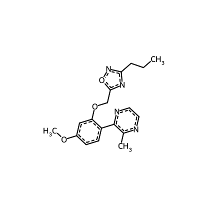 CCCc1noc(COc2cc(OC)ccc2-c2nccnc2C)n1